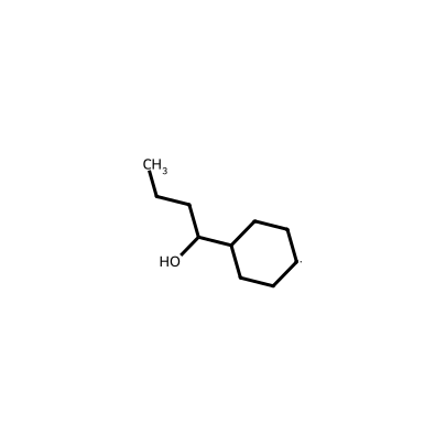 CCCC(O)C1CC[CH]CC1